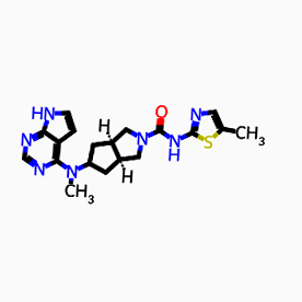 Cc1cnc(NC(=O)N2C[C@H]3CC(N(C)c4ncnc5[nH]ccc45)C[C@H]3C2)s1